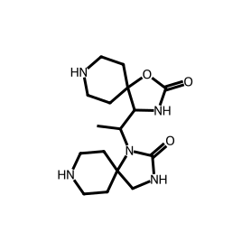 CC(C1NC(=O)OC12CCNCC2)N1C(=O)NCC12CCNCC2